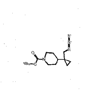 CC(C)(C)OC(=O)N1CCC(C2(CN=[N+]=[N-])CC2)CC1